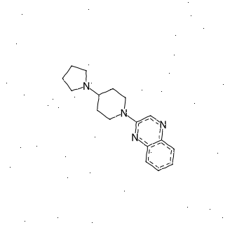 c1ccc2nc(N3CCC(N4CCCC4)CC3)cnc2c1